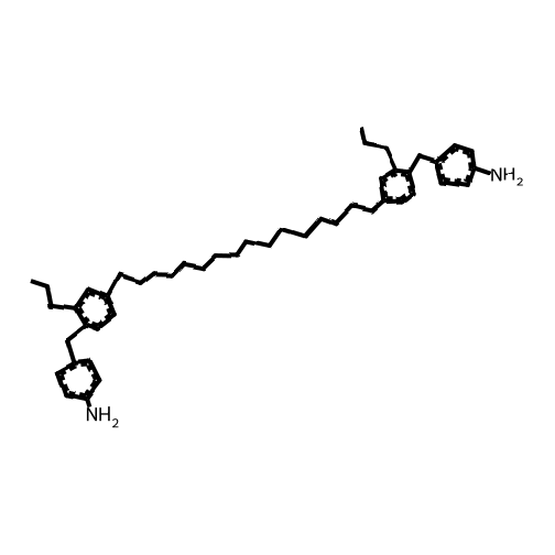 CCCc1cc(CCCCCCCCCCCCCCCCc2ccc(Cc3ccc(N)cc3)c(CCC)c2)ccc1Cc1ccc(N)cc1